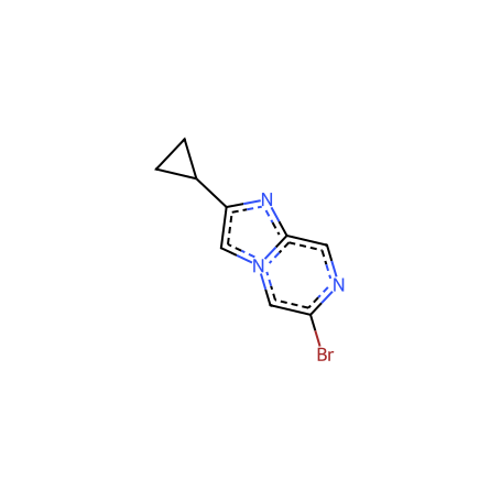 Brc1cn2cc(C3CC3)nc2cn1